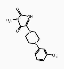 Cn1c(=O)[nH]nc(N2CCN(c3cccc(C(F)(F)F)c3)CC2)c1=O